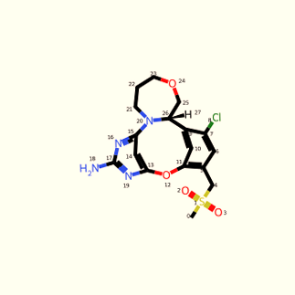 CS(=O)(=O)Cc1cc(Cl)c2cc1Oc1cc(nc(N)n1)N1CCCOC[C@H]21